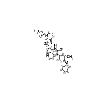 C=CC(=O)N1CCC[C@@H](NC(=O)c2sc3nccc4c3c2NC(=O)N4c2ccc(Oc3ccccc3)c(C)c2)C1